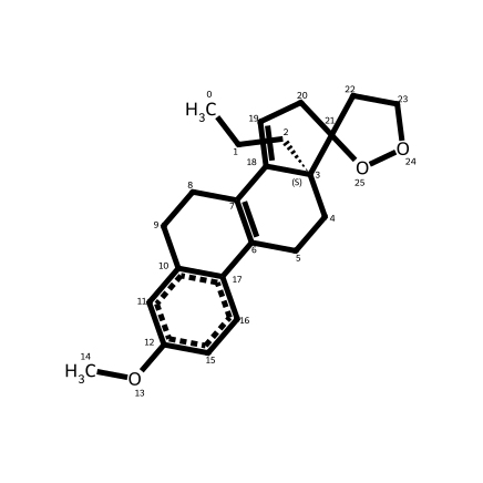 CCC[C@]12CCC3=C(CCc4cc(OC)ccc43)C1=CCC21CCOO1